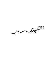 CCCCCCOBO